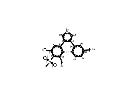 CS(=O)(=O)c1c(F)cc(-c2cscc2-c2cccc(F)c2)cc1F